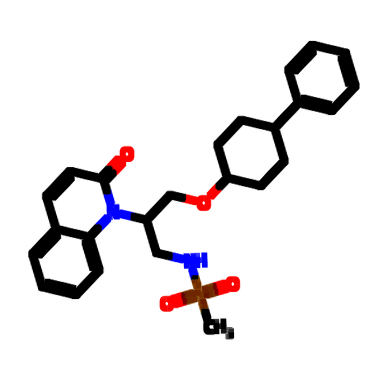 CS(=O)(=O)NCC(COC1CCC(c2ccccc2)CC1)n1c(=O)ccc2ccccc21